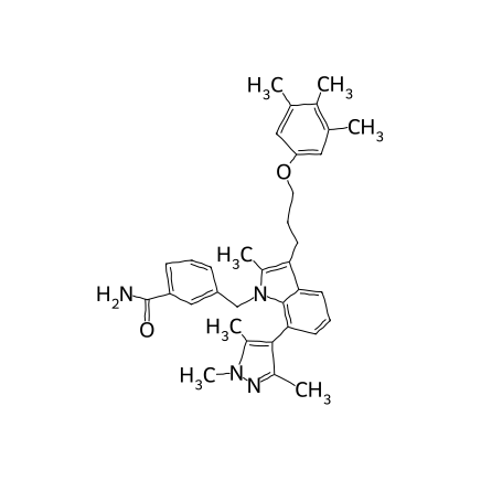 Cc1cc(OCCCc2c(C)n(Cc3cccc(C(N)=O)c3)c3c(-c4c(C)nn(C)c4C)cccc23)cc(C)c1C